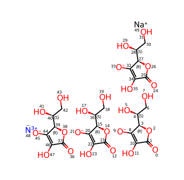 O=C1O[C@H]([C@@H](O)CO)C([O-])=C1O.O=C1O[C@H]([C@@H](O)CO)C([O-])=C1O.O=C1O[C@H]([C@@H](O)CO)C([O-])=C1O.O=C1O[C@H]([C@@H](O)CO)C([O-])=C1O.[N+3].[Na+]